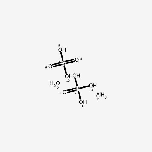 O.O=P(O)(O)O.O=S(=O)(O)O.[AlH3]